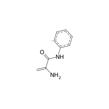 C=C(N)C(=O)Nc1[c]cccc1